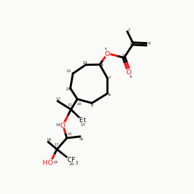 C=C(C)C(=O)OC1CCCC(C(C)(CC)OC(C)C(C)(O)C(F)(F)F)CCC1